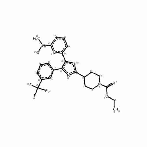 CCOC(=O)N1CCC(c2nc(-c3cccc(C(F)(F)F)c3)c(-c3ccnc([S+](C)[O-])n3)s2)CC1